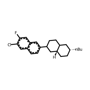 CCCC[C@@H]1CC[C@@H]2CC(c3ccc4cc(Cl)c(F)cc4c3)CCC2C1